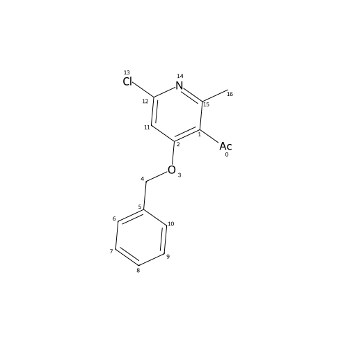 CC(=O)c1c(OCc2ccccc2)cc(Cl)nc1C